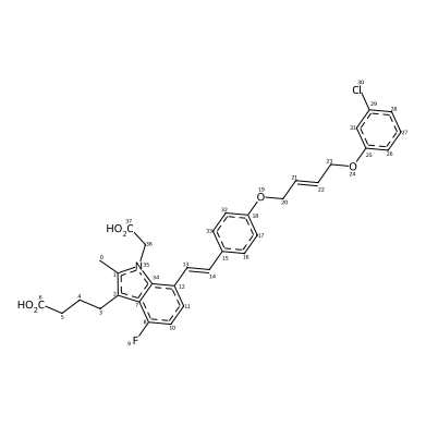 Cc1c(CCCC(=O)O)c2c(F)ccc(/C=C/c3ccc(OC/C=C/COc4cccc(Cl)c4)cc3)c2n1CC(=O)O